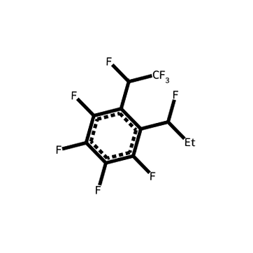 CCC(F)c1c(F)c(F)c(F)c(F)c1[C](F)C(F)(F)F